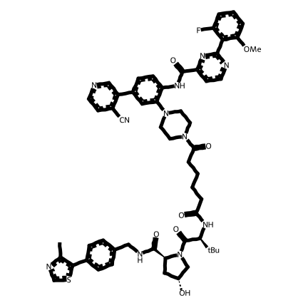 COc1cccc(F)c1-c1nccc(C(=O)Nc2ccc(-c3cnccc3C#N)cc2N2CCN(C(=O)CCCCC(=O)N[C@H](C(=O)N3C[C@H](O)C[C@H]3C(=O)NCc3ccc(-c4scnc4C)cc3)C(C)(C)C)CC2)n1